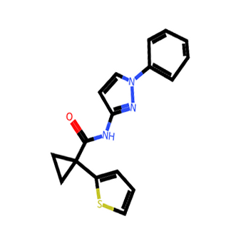 O=C(Nc1ccn(-c2ccccc2)n1)C1(c2cccs2)CC1